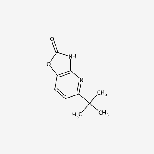 CC(C)(C)c1ccc2oc(=O)[nH]c2n1